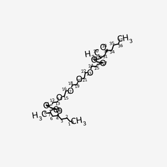 CCCCC(=O)CC(C)S(=O)(=O)CCOCCOCCOCCOCCS(=O)(=O)C(C)CC(=O)CCCC